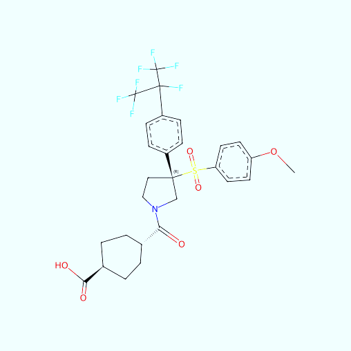 COc1ccc(S(=O)(=O)[C@@]2(c3ccc(C(F)(C(F)(F)F)C(F)(F)F)cc3)CCN(C(=O)[C@H]3CC[C@H](C(=O)O)CC3)C2)cc1